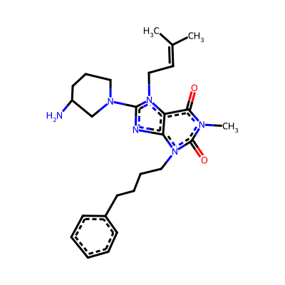 CC(C)=CCn1c(N2CCCC(N)C2)nc2c1c(=O)n(C)c(=O)n2CCCCc1ccccc1